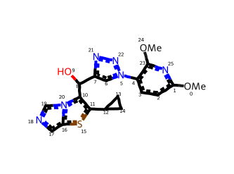 COc1ccc(-n2cc(C(O)c3c(C4CC4)sc4cncn34)nn2)c(OC)n1